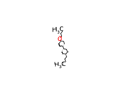 CCCCO[C@H]1CC[C@H]([C@H]2CC[C@H](CCCC)CC2)CC1